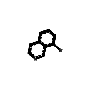 Brc1cccc2c[c]ncc12